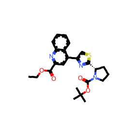 CCOC(=O)c1cc(-c2csc([C@@H]3CCCN3C(=O)OC(C)(C)C)n2)c2ccccc2n1